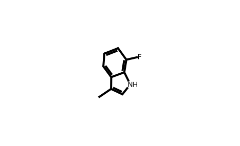 Cc1c[nH]c2c(F)cccc12